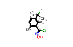 CCc1ccc(C(F)(C(F)(F)F)C(F)(F)F)c(C)c1/C(Cl)=N/O